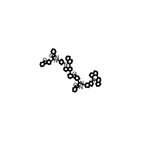 c1ccc2c3c(ccc2c1)-c1cccc2cccc(c12)N3c1ccc2ccc(-c3nc(-c4ccc5oc6c(-c7ccc8c9c(cccc79)N(c7ccc(-c9nc(-c%10ccc%11c(c%10)oc%10ccccc%10%11)c%10oc%11ccccc%11c%10n9)cc7)c7c-8ccc8ccccc78)cccc6c5c4)c4oc5ccccc5c4n3)cc2c1